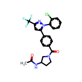 CC(=O)NC1CCN(C(=O)c2ccc(-c3cc(C(F)(F)F)nn3-c3ccccc3Cl)cc2)C1